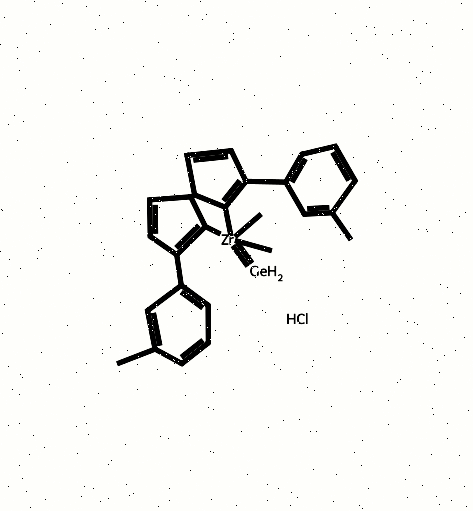 Cc1cccc(C2=[C]([Zr]([CH3])([CH3])(=[GeH2])[C]3=C(c4cccc(C)c4)C=CC3)CC=C2)c1.Cl